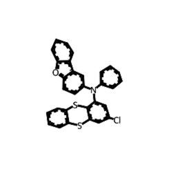 Clc1cc2c(c(N(c3ccccc3)c3ccc4oc5ccccc5c4c3)c1)Sc1ccccc1S2